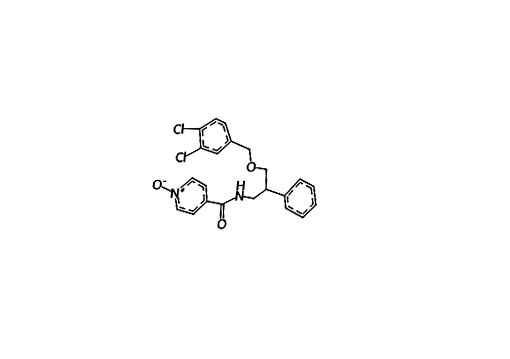 O=C(NCC(COCc1ccc(Cl)c(Cl)c1)c1ccccc1)c1cc[n+]([O-])cc1